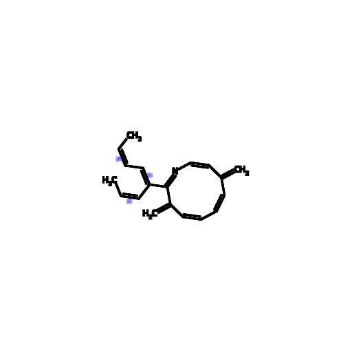 C=c1ccccc(=C)c(C(/C=C\C)=C/C=C\C)ncc1